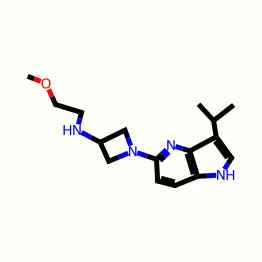 COCCNC1CN(c2ccc3[nH]cc(C(C)C)c3n2)C1